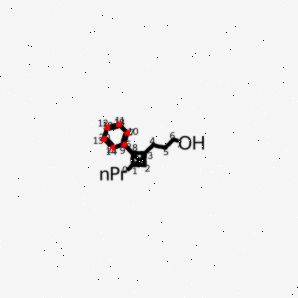 CCCC12CC(CCCO)(C1c1ccccc1)C2c1ccccc1